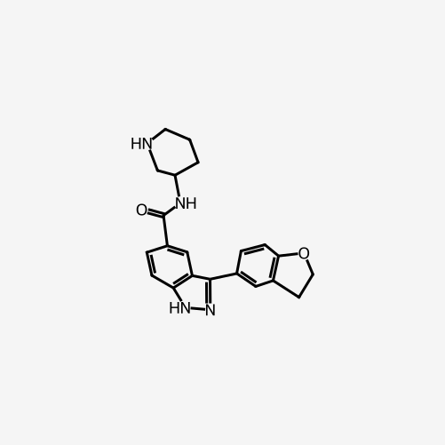 O=C(NC1CCCNC1)c1ccc2[nH]nc(-c3ccc4c(c3)CCO4)c2c1